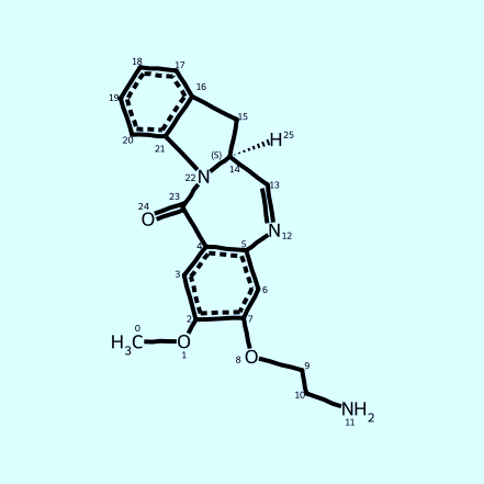 COc1cc2c(cc1OCCN)N=C[C@@H]1Cc3ccccc3N1C2=O